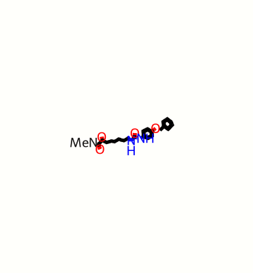 CNC(=O)C(=O)CCCCCCNC(=O)Nc1ccc(OCc2ccccc2)cc1